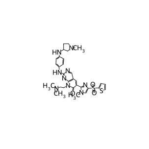 CN(C)CCn1c(=O)c(-c2nc(S(=O)(=O)c3cccs3)cn2C)cc2cnc(Nc3ccc(NC4CCN(C)C4)cc3)nc21